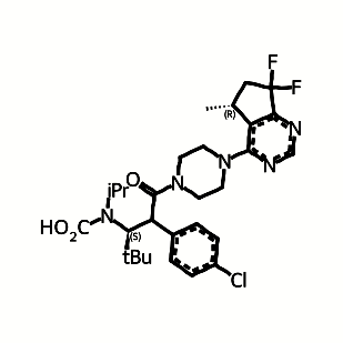 CC(C)N(C(=O)O)[C@@H](C(C(=O)N1CCN(c2ncnc3c2[C@H](C)CC3(F)F)CC1)c1ccc(Cl)cc1)C(C)(C)C